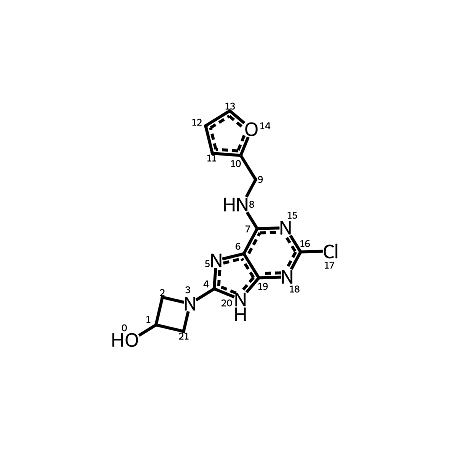 OC1CN(c2nc3c(NCc4ccco4)nc(Cl)nc3[nH]2)C1